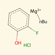 CCC[CH2][Mg+2].Cl.Oc1ccccc1F